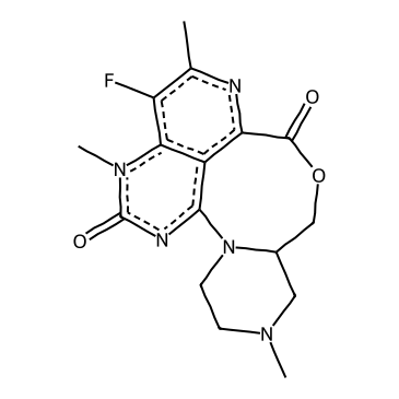 Cc1nc2c3c(nc(=O)n(C)c3c1F)N1CCN(C)CC1COC2=O